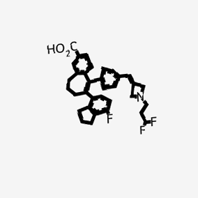 O=C(O)c1ccc2c(c1)CCCC(c1ccc(F)c3c1CCC3)=C2c1ccc(C=C2CN(CCC(F)F)C2)cc1